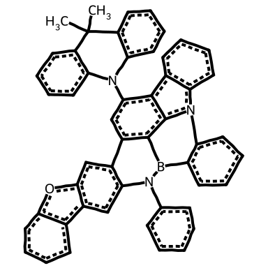 CC1(C)c2ccccc2N(c2cc3c4c5c2c2ccccc2n5-c2ccccc2B4N(c2ccccc2)c2cc4c(cc2-3)oc2ccccc24)c2ccccc21